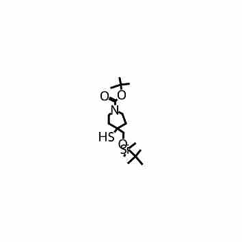 CC(C)(C)OC(=O)N1CCC(S)(CO[Si](C)(C)C(C)(C)C)CC1